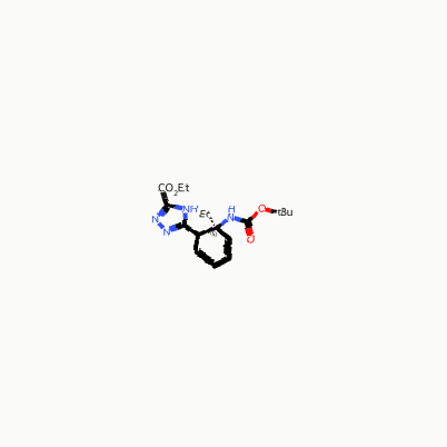 CCOC(=O)c1nnc(C2C=CC=C[C@]2(CC)NC(=O)OC(C)(C)C)[nH]1